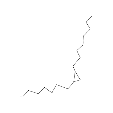 [CH2]CCCCCCC1CC1CCCCCCCC